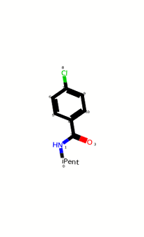 CCCC(C)NC(=O)c1ccc(Cl)cc1